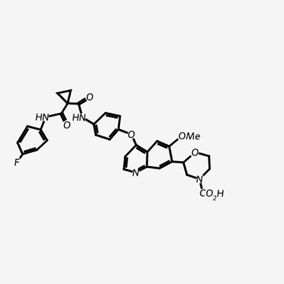 COc1cc2c(Oc3ccc(NC(=O)C4(C(=O)Nc5ccc(F)cc5)CC4)cc3)ccnc2cc1C1CN(C(=O)O)CCO1